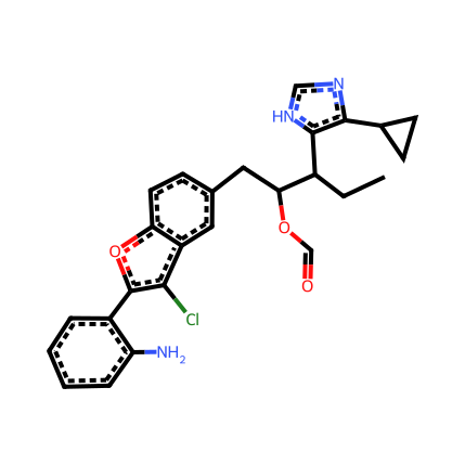 CCC(c1[nH]cnc1C1CC1)C(Cc1ccc2oc(-c3ccccc3N)c(Cl)c2c1)OC=O